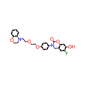 O=C1Oc2cc(O)c(F)cc2CN1c1ccc(OCCOCCN2CCOc3ccccc32)cc1